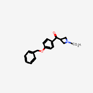 O=C(c1ccc(OCc2ccccc2)cc1)C1CN(C(=O)O)C1